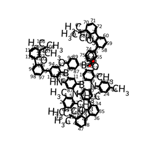 Cc1cc(C)c(N2c3cc4c(cc3B3c5cc6c(cc5N(c5c(C)cc(C)cc5C)c5cc(-c7cccc8c7oc7c(C(C)(C)C)cccc78)cc2c53)Oc2cc(-c3cccc5c3oc3c(C(C)(C)C)cccc35)cc3c2B6c2ccccc2O3)B2c3ccccc3Oc3cc(-c5cccc6c5oc5c(C(C)(C)C)cccc56)cc(c32)N4)c(C)c1